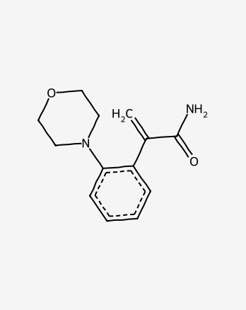 C=C(C(N)=O)c1ccccc1N1CCOCC1